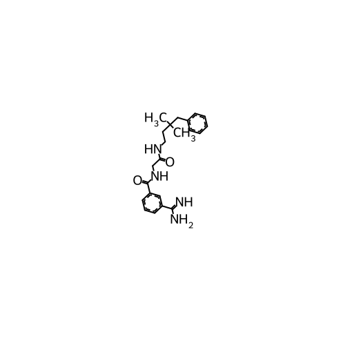 CC(C)(CCNC(=O)CNC(=O)c1cccc(C(=N)N)c1)Cc1ccccc1